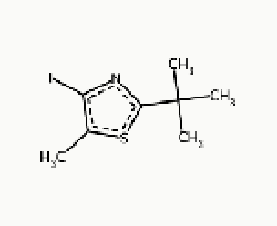 Cc1sc(C(C)(C)C)nc1I